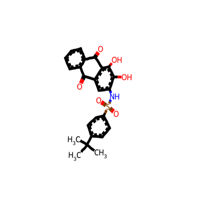 CC(C)(C)c1ccc(S(=O)(=O)Nc2cc3c(c(O)c2O)C(=O)c2ccccc2C3=O)cc1